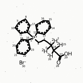 [2H]C([2H])(CC[P+](c1ccccc1)(c1ccccc1)c1ccccc1)C([2H])([2H])C(=O)O.[Br-]